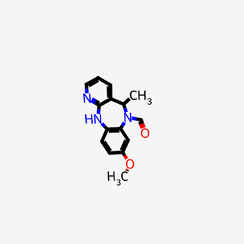 COc1ccc2c(c1)N(C=O)C(C)c1cccnc1N2